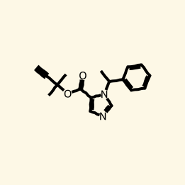 C#CC(C)(C)OC(=O)c1cncn1C(C)c1ccccc1